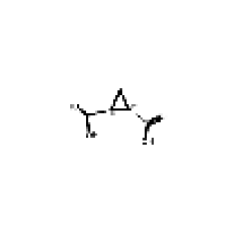 O=C(O)[C@H]1C[C@@H]1C(O)O